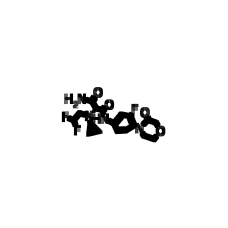 NC(=O)[C@H](C(=O)Nc1ccc(N2CCOCC2=O)c(F)c1)N(CC(F)F)C1CC1